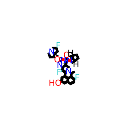 CCc1c(F)ccc2cc(O)cc(-c3ncc4c(N5C[C@H]6CC[C@@H](C5)C6CC(=O)N(C)C)nc(OC[C@@]56CCCN5C[C@H](F)C6)nc4c3F)c12